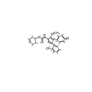 COc1c(NC(=O)OC2CCOCC2)nn(-c2ccccc2Cl)c1-c1ccc(Cl)cc1